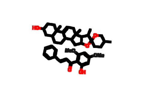 CC1CCC2(OC1)OC1CC3C4CCC5CC(O)CCC5(C)C4=CCC3(C)C1C2C.COc1cc(O)c(C(=O)C=Cc2ccccc2)c(OC)c1